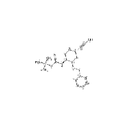 CC(C)(C)OC(=O)N[C@H]1CO[C@H](C#CO)CC1OCc1ccccc1